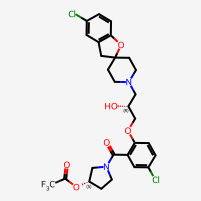 O=C(c1cc(Cl)ccc1OC[C@H](O)CN1CCC2(CC1)Cc1cc(Cl)ccc1O2)N1CC[C@H](OC(=O)C(F)(F)F)C1